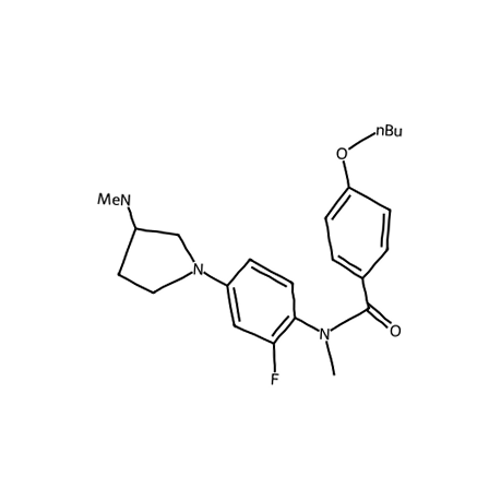 CCCCOc1ccc(C(=O)N(C)c2ccc(N3CCC(NC)C3)cc2F)cc1